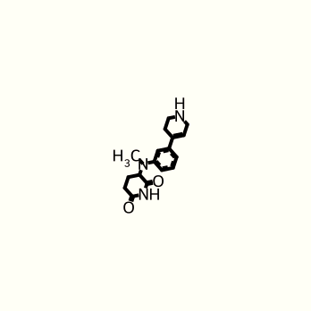 CN(c1cccc(C2=CCNCC2)c1)C1CCC(=O)NC1=O